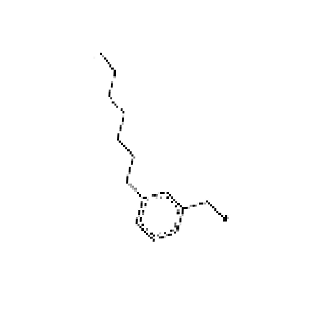 CC(C)Cc1cccc(CCCCCCN)c1